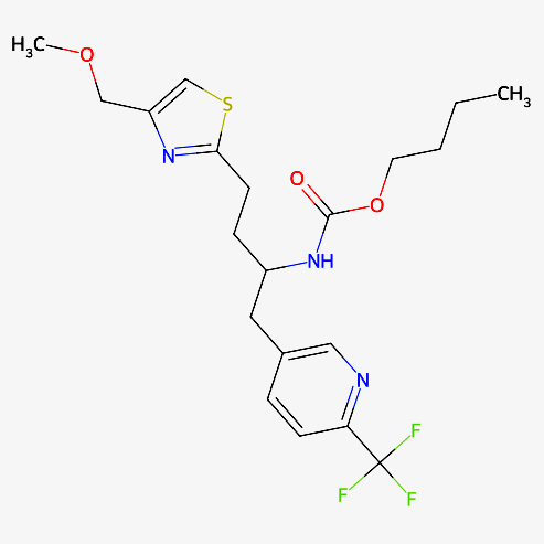 CCCCOC(=O)NC(CCc1nc(COC)cs1)Cc1ccc(C(F)(F)F)nc1